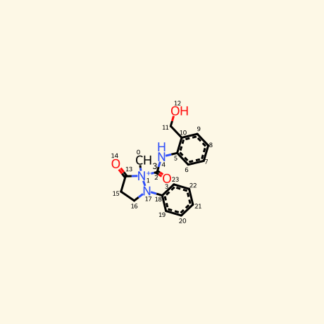 C[N+]1(C(=O)Nc2ccccc2CO)C(=O)CCN1c1ccccc1